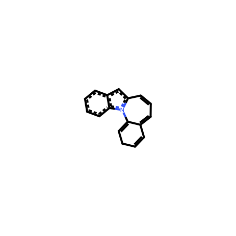 C1=Cc2cc3ccccc3n2C2=CCC=CC2=C1